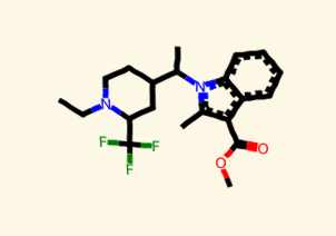 CCN1CCC(C(C)n2c(C)c(C(=O)OC)c3ccccc32)CC1C(F)(F)F